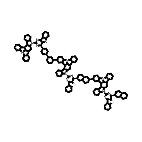 c1cc(-c2ccc(-c3nc(-n4c5ccccc5c5c6c7ccccc7n7c8ccccc8c(cc54)c67)nc4c3sc3ccccc34)cc2)cc(-c2ccc3c(c2)c2c4c5ccccc5n(-c5nc(-c6ccc7cc(-c8ccc9c(c8)c8c%10c%11ccccc%11n(-c%11nc(-c%12ccc%13ccccc%13c%12)c%12sc%13ccccc%13c%12n%11)c%10cc%10c%11ccccc%11n9c%108)ccc7c6)c6oc7ccccc7c6n5)c4cc4c5ccccc5n3c42)c1